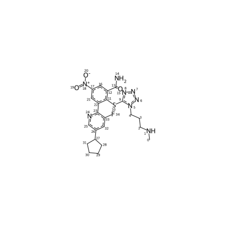 CNCCCn1nnnc1Sc1c(C(N)=O)cc([N+](=O)[O-])cc1-c1ncc(C2CCCC2)cc1F